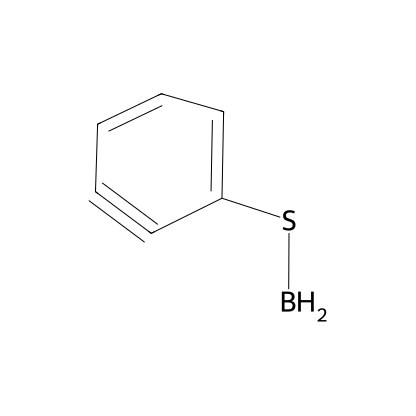 BSc1c#cccc1